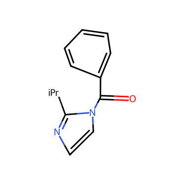 CC(C)c1nccn1C(=O)c1ccccc1